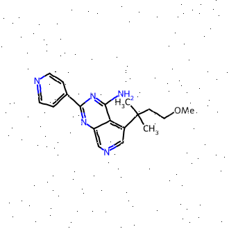 COCCC(C)(C)c1cncc2nc(-c3ccncc3)nc(N)c12